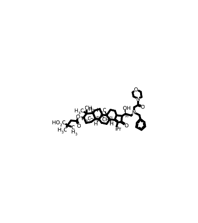 CC(C)C1=C2C(CC[C@]3(C)[C@@H]2CC[C@@H]2[C@@]4(C)CC[C@H](OC(=O)CC(C)(C)C(=O)O)C(C)(C)[C@@H]4CC[C@]23C)C([C@@H](O)CN(CC(=O)N2CCOCC2)Cc2ccccc2)C1=O